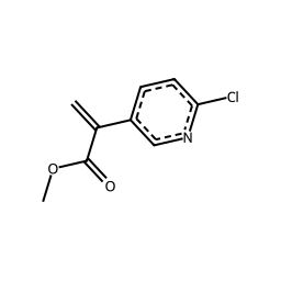 C=C(C(=O)OC)c1ccc(Cl)nc1